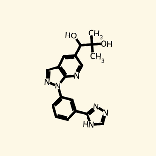 CC(C)(O)C(O)c1cnc2c(cnn2-c2cccc(-c3nnc[nH]3)c2)c1